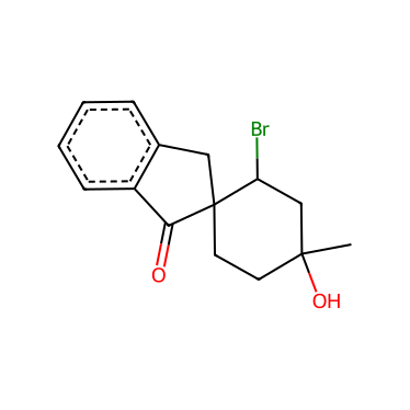 CC1(O)CCC2(Cc3ccccc3C2=O)C(Br)C1